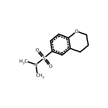 CN(C)S(=O)(=O)c1ccc2c(c1)CCCO2